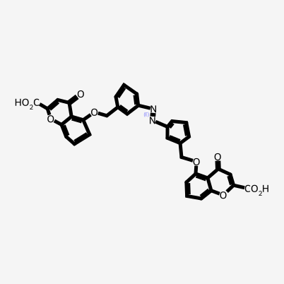 O=C(O)c1cc(=O)c2c(OCc3cccc(/N=N/c4cccc(COc5cccc6oc(C(=O)O)cc(=O)c56)c4)c3)cccc2o1